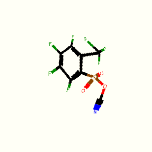 N#COS(=O)(=O)c1c(F)c(F)c(F)c(F)c1C(F)(F)F